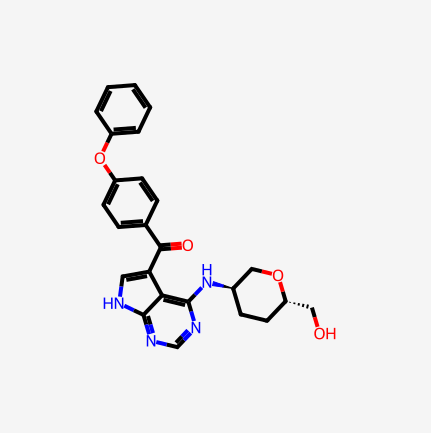 O=C(c1ccc(Oc2ccccc2)cc1)c1c[nH]c2ncnc(N[C@@H]3CC[C@@H](CO)OC3)c12